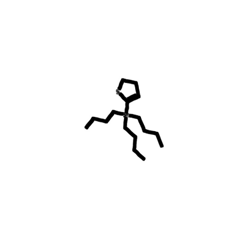 CCC[CH2][Sn]([CH2]CCC)([CH2]CCC)[C]1=CCCS1